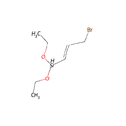 CCO[SiH](C=CCBr)OCC